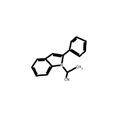 CC(C#N)n1c(-c2ccccc2)cc2ccccc21